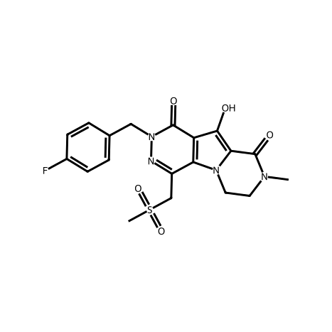 CN1CCn2c(c(O)c3c(=O)n(Cc4ccc(F)cc4)nc(CS(C)(=O)=O)c32)C1=O